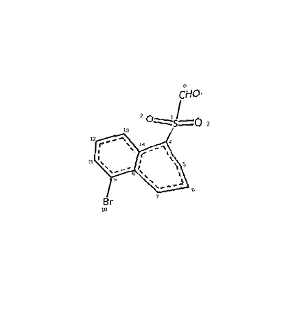 O=[C]S(=O)(=O)c1cccc2c(Br)cccc12